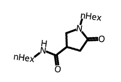 CCCCCCNC(=O)C1CC(=O)N(CCCCCC)C1